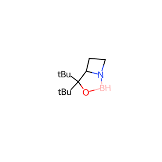 CC(C)(C)C1(C(C)(C)C)OBN2CCC21